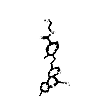 Cc1ccc2c(c1)nc(N)c1ncc(CCc3ccc(C(=O)NCCN)cc3C)cc12